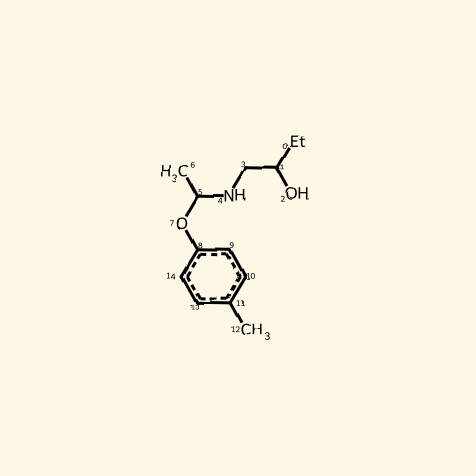 CCC(O)CNC(C)Oc1ccc(C)cc1